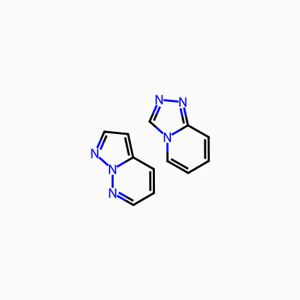 c1ccn2cnnc2c1.c1cnn2nccc2c1